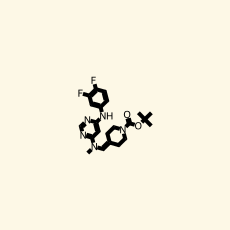 CN(C=C1CCN(C(=O)OC(C)(C)C)CC1)c1cc(Nc2ccc(F)c(F)c2)ncn1